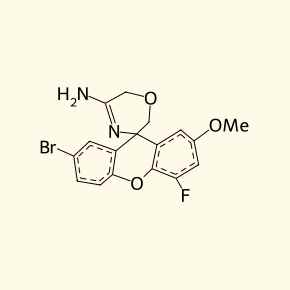 COc1cc(F)c2c(c1)C1(COCC(N)=N1)c1cc(Br)ccc1O2